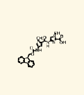 Cn1cc(NC(=O)OCC2c3ccccc3-c3ccccc32)cc1C(=O)Nc1cn(C)c(C(=O)O)n1